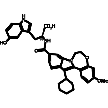 COc1ccc2c(c1)OCCn1c-2c(C2CCCCC2)c2ccc(C(=O)N[C@@H](Cc3c[nH]c4ccc(O)cc34)C(=O)O)cc21